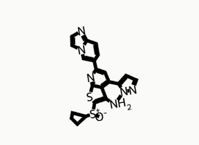 Cn1nccc1-c1cc(-c2ccc3nccn3c2)nc2sc([S+]([O-])C3CCC3)c(N)c12